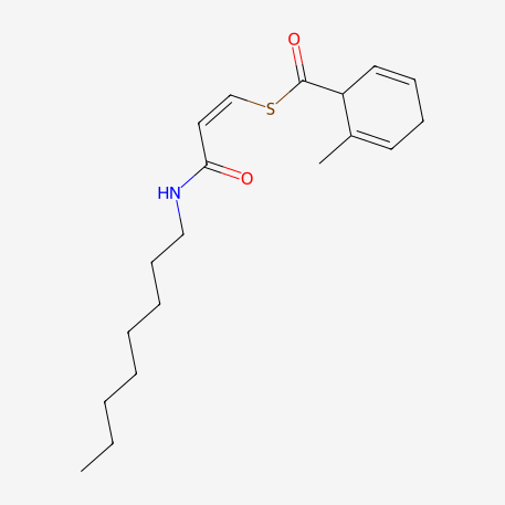 CCCCCCCCNC(=O)/C=C\SC(=O)C1C=CCC=C1C